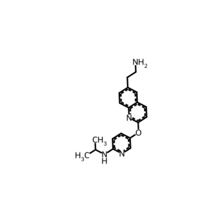 CC(C)Nc1ccc(Oc2ccc3cc(CCN)ccc3n2)cn1